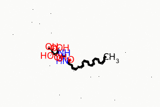 CC/C=C\C/C=C\C/C=C\C/C=C\C/C=C\C/C=C\CCC(=O)NCC(=O)N[C@@H]1[C@@H](O)[C@H](O)[C@@H](CO)O[C@H]1O